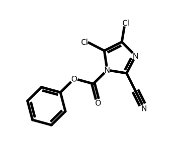 N#Cc1nc(Cl)c(Cl)n1C(=O)Oc1ccccc1